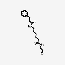 O=CCNC(=O)CCCCCNC(=O)CCc1ccccc1